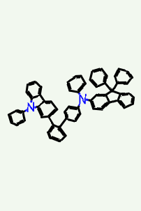 c1ccc(N(c2ccc(-c3ccccc3-c3ccc4c5ccccc5n(-c5ccccc5)c4c3)cc2)c2ccc3c(c2)C(c2ccccc2)(c2ccccc2)c2ccccc2-3)cc1